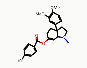 COc1ccc(C23CCC(OC(=O)c4ccc(C(C)C)cc4)=CC2N(C)CC3)cc1OC